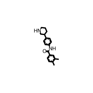 Cc1ccc(C(=O)Nc2ccc(C3CCCNC3)cc2)cc1C